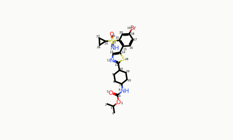 CC(C)OC(=O)NC1CCC(c2ncc(-c3ccc(Br)cc3S(=N)(=O)C3CC3)s2)CC1